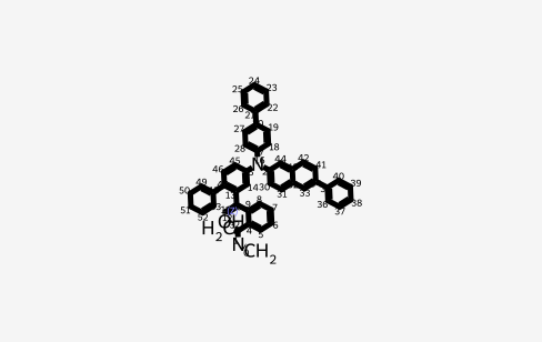 C=NC(=C)c1ccccc1/C(=C\O)c1cc(N(c2ccc(-c3ccccc3)cc2)c2ccc3cc(-c4ccccc4)ccc3c2)ccc1C1=CCCC=C1